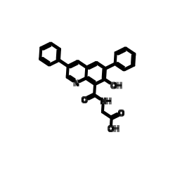 O=C(O)CNC(=O)c1c(O)c(-c2ccccc2)cc2cc(-c3ccccc3)cnc12